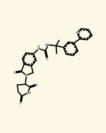 CC(C)(NC(=O)Nc1ccc2c(c1)CN(C1CCC(=O)NC1=O)C2=O)c1cccc(-c2ccccn2)c1